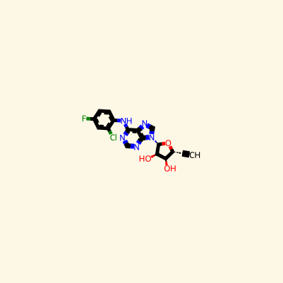 C#C[C@H]1O[C@@H](n2cnc3c(Nc4ccc(F)cc4Cl)ncnc32)[C@H](O)[C@@H]1O